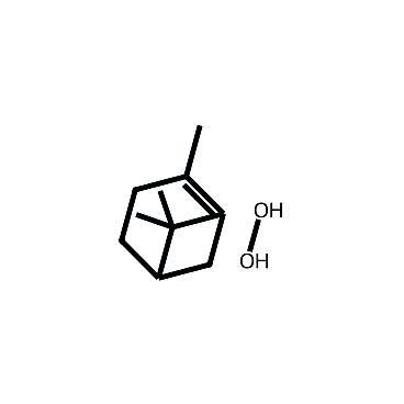 CC1=C2CC(CC1)C2(C)C.OO